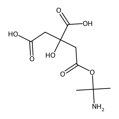 CC(C)(N)OC(=O)CC(O)(CC(=O)O)C(=O)O